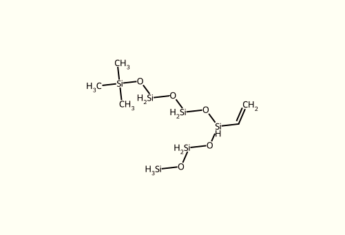 C=C[SiH](O[SiH2]O[SiH3])O[SiH2]O[SiH2]O[Si](C)(C)C